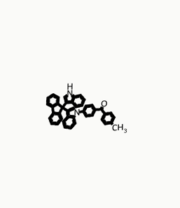 Cc1ccc(C(=O)c2ccc(-n3cc(C4(c5c[nH]c6ccccc56)c5ccccc5-c5ccccc54)c4ccccc43)cc2)cc1